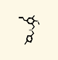 C=CCc1cc(C)c(SC)c(CNCc2ccc(C)cc2)c1